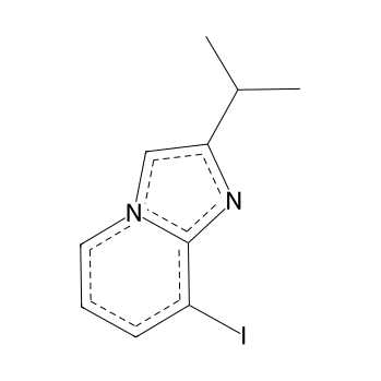 CC(C)c1cn2cccc(I)c2n1